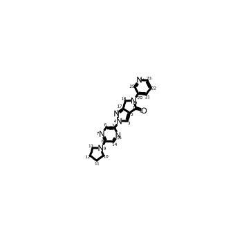 O=C1c2cn(-c3cnc(N4CCCC4)cn3)nc2CN1c1cccnc1